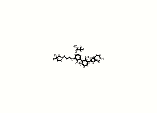 Cc1c(OCCCN2CCC(F)(F)C2)cccc1-c1cccc(-c2nc3c(s2)CNCC3)c1C.O=C(O)C(F)(F)F